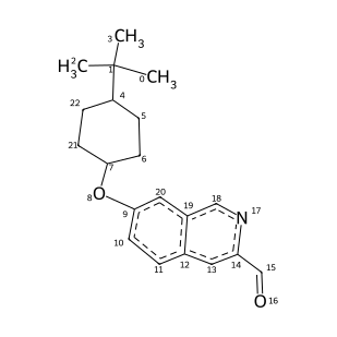 CC(C)(C)C1CCC(Oc2ccc3cc(C=O)ncc3c2)CC1